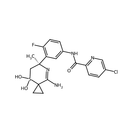 C[C@@]1(c2cc(NC(=O)c3ccc(Cl)cn3)ccc2F)CS(O)(O)C2(CC2)C(N)=N1